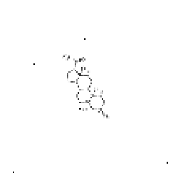 CC(=O)C1CCC2C3CC[C@@H]4C[C@H](O)CCC4(C)C3CCC12C